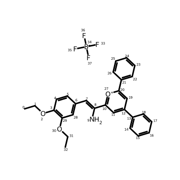 CCOc1ccc(C=C(N)c2cc(-c3ccccc3)cc(-c3ccccc3)[o+]2)cc1OCC.F[B-](F)(F)F